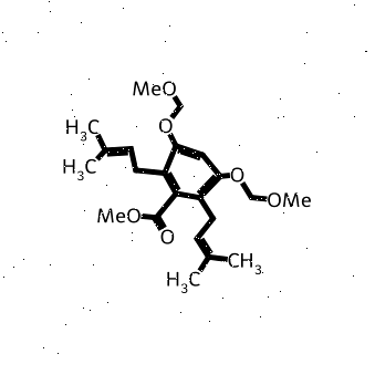 COCOc1cc(OCOC)c(CC=C(C)C)c(C(=O)OC)c1CC=C(C)C